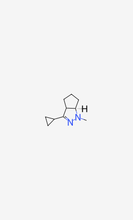 CN1N=C(C2CC2)C2CCC[C@H]21